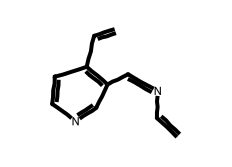 C=C/N=C\c1cnccc1C=C